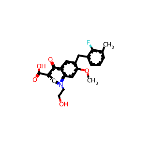 COc1cc2c(cc1Cc1cccc(C)c1F)c(=O)c(C(=O)O)cn2CCO